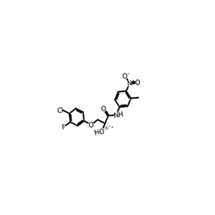 Cc1cc(NC(=O)[C@@](C)(O)COc2ccc(Cl)c(F)c2)ccc1[N+](=O)[O-]